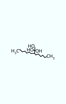 CCCCCCCC(CCCCCC)C(O)(O)CO